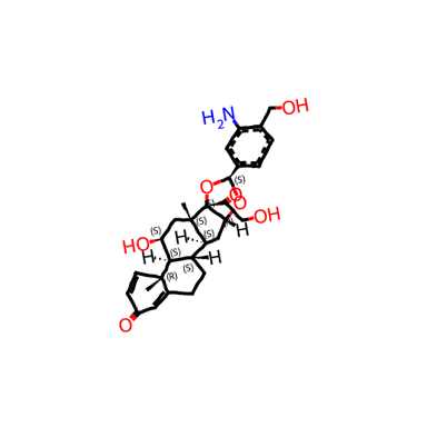 C[C@]12C=CC(=O)C=C1CC[C@@H]1[C@@H]2[C@@H](O)C[C@@]2(C)[C@H]1C[C@H]1O[C@H](c3ccc(CO)c(N)c3)O[C@]12C(=O)CO